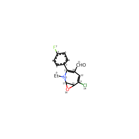 CCN1C(c2ccc(F)cc2)=C(C=O)C=C(Cl)C2OC21